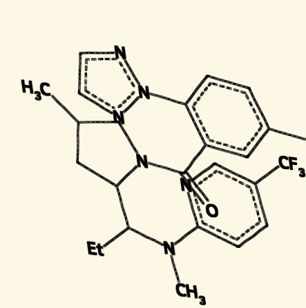 CCC(C1CC(C)CN1C(=O)c1cc(F)ccc1-n1nccn1)N(C)c1ccc(C(F)(F)F)cn1